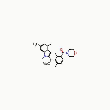 COC(c1c(C)ccc(C(=O)N2CCOCC2)c1C)c1cc2c(C)cc(C(F)(F)F)cc2n1C